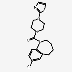 O=C(N1CCN(c2nccs2)CC1)N1CCCCc2cc(Cl)ccc21